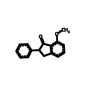 COc1cccc2c1C(=O)C(c1ccccc1)C2